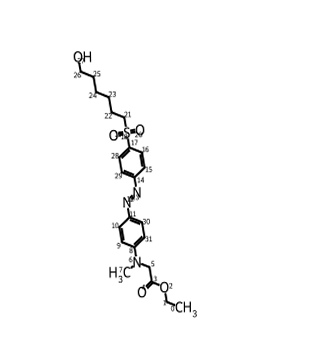 CCOC(=O)CN(C)c1ccc(N=Nc2ccc(S(=O)(=O)CCCCCCO)cc2)cc1